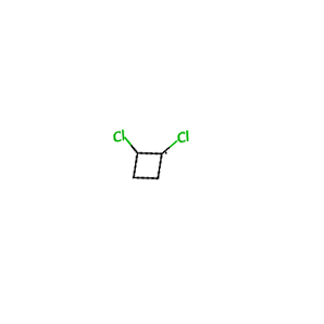 Cl[C]1CCC1Cl